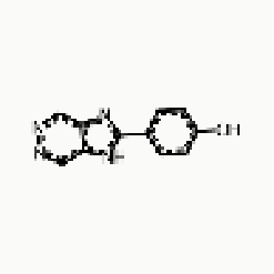 Oc1ccc(-c2nc3cnncc3[nH]2)cc1